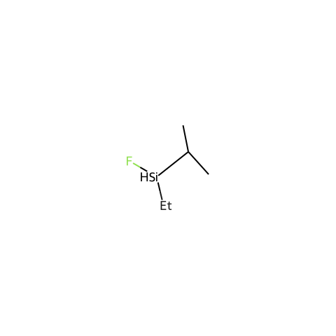 CC[SiH](F)C(C)C